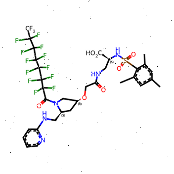 Cc1cc(C)c(S(=O)(=O)N[C@@H](CNC(=O)CO[C@@H]2C[C@@H](CNc3ccccn3)N(C(=O)C(F)(F)C(F)(F)C(F)(F)C(F)(F)C(F)(F)C(F)(F)C(F)(F)F)C2)C(=O)O)c(C)c1